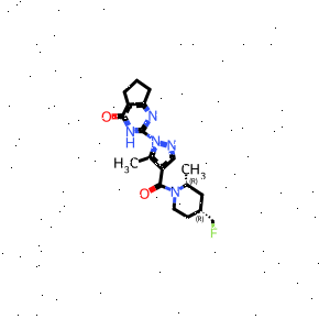 Cc1c(C(=O)N2CC[C@@H](CF)C[C@H]2C)cnn1-c1nc2c(c(=O)[nH]1)CCC2